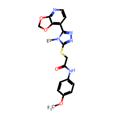 CCn1c(SCC(=O)Nc2ccc(OC(F)(F)F)cc2)nnc1-c1ccnc2c1OCO2